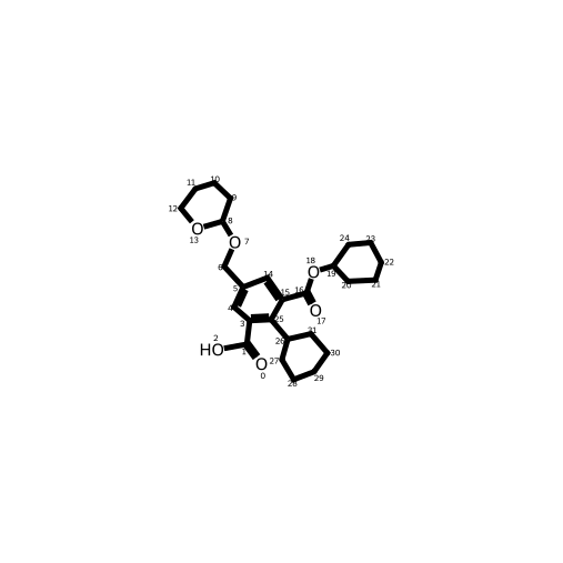 O=C(O)c1cc(COC2CCCCO2)cc(C(=O)OC2CCCCC2)c1C1CCCCC1